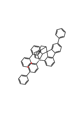 c1ccc(-c2ccc(N(c3ccccc3-c3ccccc3)c3cccc4c3C3(c5cc(-c6ccccc6)ccc5-4)C4CC5CC(C4)C3C5)cc2)cc1